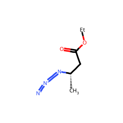 CCOC(=O)C[C@H](C)N=[N+]=[N-]